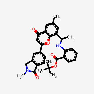 Cc1cc(C(C)Nc2ccccc2C(=O)OC(C)(C)C)c2oc(-c3ccc4c(c3)CN(C)C4=O)cc(=O)c2c1